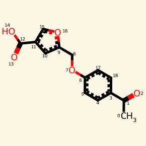 CC(=O)c1ccc(OCc2cc(C(=O)O)co2)cc1